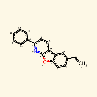 C=Cc1ccc2oc3nc(-c4ccccc4)ccc3c2c1